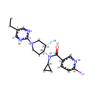 CCc1cnc(N2CC[C@@H](N(C(=O)c3ccc(I)nc3)C3CC3)[C@@H](F)C2)nc1